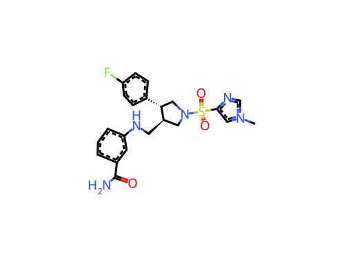 Cn1cnc(S(=O)(=O)N2C[C@@H](CNc3cccc(C(N)=O)c3)[C@H](c3ccc(F)cc3)C2)c1